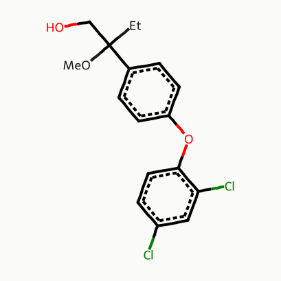 CCC(CO)(OC)c1ccc(Oc2ccc(Cl)cc2Cl)cc1